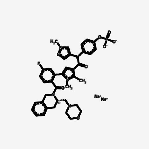 Cc1c(C(=O)N(c2ccc(OP(=O)([O-])[O-])cc2)c2cnn(C)c2)cc(-c2cc(F)ccc2C(=O)N2Cc3ccccc3C[C@H]2CN2CCOCC2)n1C.[Na+].[Na+]